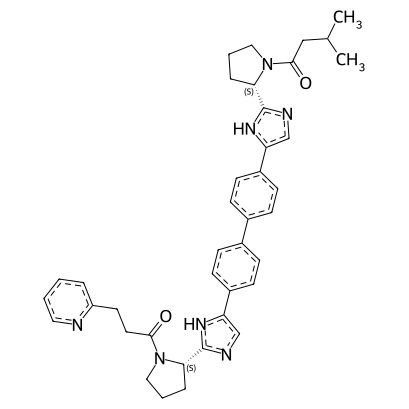 CC(C)CC(=O)N1CCC[C@H]1c1ncc(-c2ccc(-c3ccc(-c4cnc([C@@H]5CCCN5C(=O)CCc5ccccn5)[nH]4)cc3)cc2)[nH]1